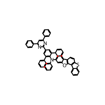 C1=CCC(c2cc(-c3nc(-c4ccccc4)cc(-c4ccccc4)n3)cc(-c3ccccc3)c2N(c2ccccc2)c2ccc3c(c2)oc2c3ccc3sc4ccccc4c32)C=C1